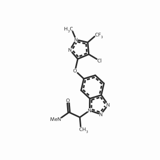 CNC(=O)C(C)n1nnc2ccc(Oc3nn(C)c(C(F)(F)F)c3Cl)cc21